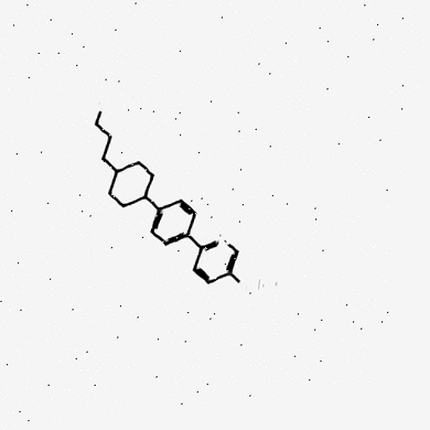 CCCCCCc1ccc(-c2ccc(C3CCC(CCCC=O)CC3)cc2)nc1